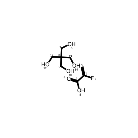 C=C(F)C(=O)O.OCC(CO)(CO)CO